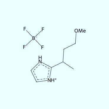 COCCC(C)c1[nH]cc[nH+]1.F[B-](F)(F)F